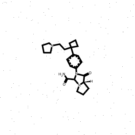 NC(=O)C1N(c2ccc(C3(CCN4CCCC4)CCC3)cc2)C(=O)[C@@H]2[CH]CCN12